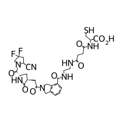 N#C[C@@H]1CC(F)(F)CN1C(=O)[C@@H]1C[C@@H](CC(=O)N2Cc3cccc(C(=O)NCCNC(=O)CCC(=O)N[C@@H](CS)C(=O)O)c3C2)C(=O)N1